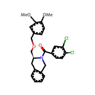 COc1ccc(COC[C@@H]2Cc3ccccc3CN2C(=O)c2ccc(Cl)c(Cl)c2)cc1OC